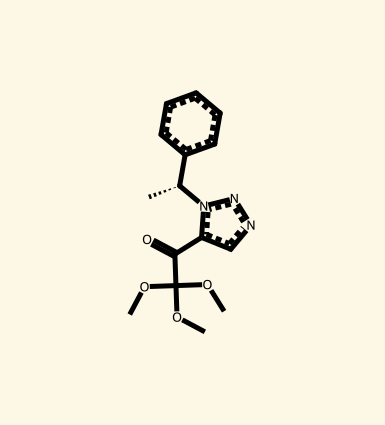 COC(OC)(OC)C(=O)c1cnnn1[C@H](C)c1ccccc1